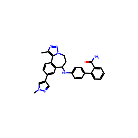 Cc1nnn2c1-c1ccc(-c3cnn(C)c3)cc1C(Nc1ccc(-c3ccccc3C(N)=O)cc1)CC2